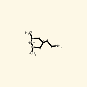 CN1CC(CCN)CN(C)N1